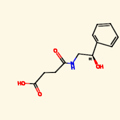 O=C(O)CCC(=O)NC[C@H](O)c1ccccc1